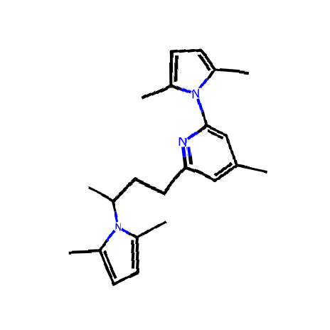 Cc1cc(CCC(C)n2c(C)ccc2C)nc(-n2c(C)ccc2C)c1